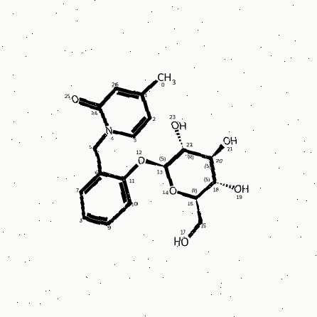 Cc1ccn(Cc2ccccc2O[C@@H]2O[C@H](CO)[C@@H](O)[C@H](O)[C@H]2O)c(=O)c1